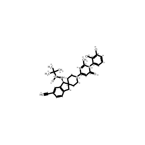 C#Cc1ccc2c(c1)[C@@H](N[S+]([O-])C(C)(C)C)C1(CCN(c3cc(=O)n(-c4cccc(Cl)c4Cl)c(C)n3)CC1)C2